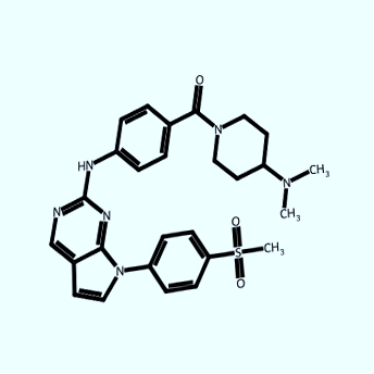 CN(C)C1CCN(C(=O)c2ccc(Nc3ncc4ccn(-c5ccc(S(C)(=O)=O)cc5)c4n3)cc2)CC1